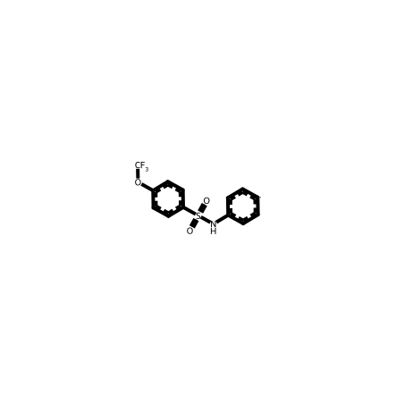 O=S(=O)(Nc1cc[c]cc1)c1ccc(OC(F)(F)F)cc1